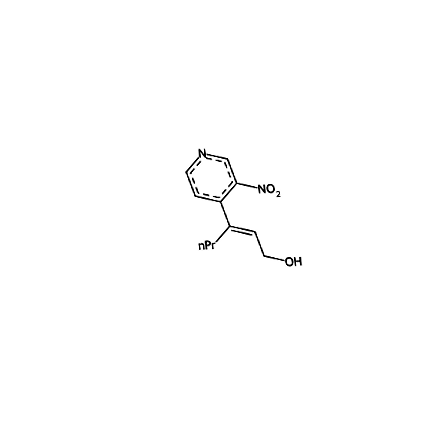 CCCC(=CCO)c1ccncc1[N+](=O)[O-]